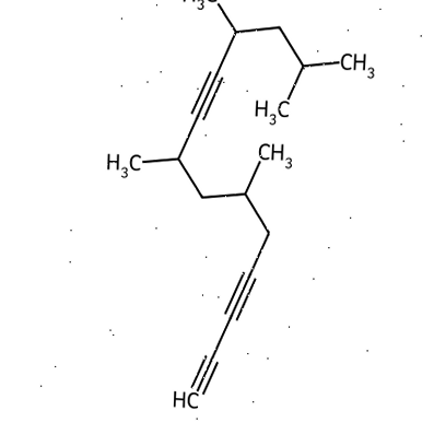 C#CC#CCC(C)CC(C)C#CC(C)CC(C)C